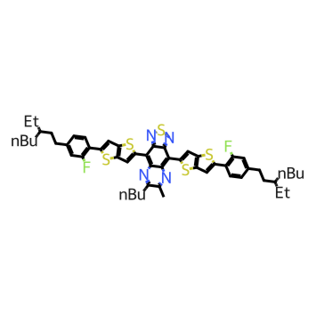 CCCCc1nc2c(-c3cc4sc(-c5ccc(CCC(CC)CCCC)cc5F)cc4s3)c3nsnc3c(-c3cc4sc(-c5ccc(CCC(CC)CCCC)cc5F)cc4s3)c2nc1C